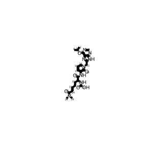 CC(C)Oc1ncnc2[nH]c(Cn3cccc(NC(=O)C(CCC=CC(=O)N(C)C)NC(=O)O)c3=O)nc12